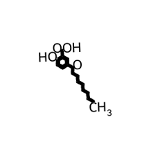 CCCCCCCCCC(=O)c1ccc(O)c(C(=O)O)c1